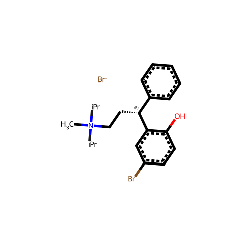 CC(C)[N+](C)(CC[C@H](c1ccccc1)c1cc(Br)ccc1O)C(C)C.[Br-]